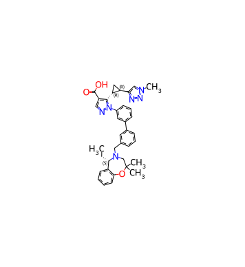 CC[C@H]1c2ccccc2OC(C)(C)CN1Cc1cccc(-c2cccc(-n3ncc(C(=O)O)c3[C@@H]3C[C@H]3c3cn(C)nn3)c2)c1